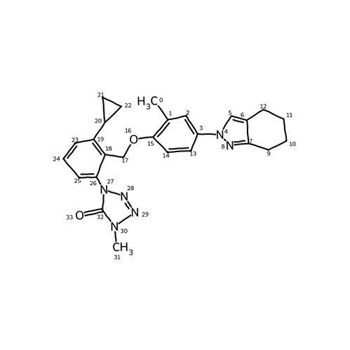 Cc1cc(-n2cc3c(n2)CCCC3)ccc1OCc1c(C2CC2)cccc1-n1nnn(C)c1=O